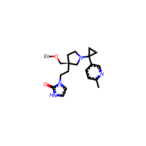 CCOC[C@@]1(CCn2cc[nH]c2=O)CCN(C2(c3ccc(C)nc3)CC2)C1